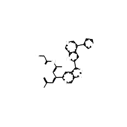 C=C(C)/C=C(\C=C(/C)NC(=O)CC(C)(C)C)c1cc2c(-c3cc4c(-c5ccoc5)cncc4[nH]3)n[nH]c2cn1